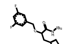 CC(C)(C)NC(=O)C(CC1CCC1)OCc1cc(F)cc(F)c1